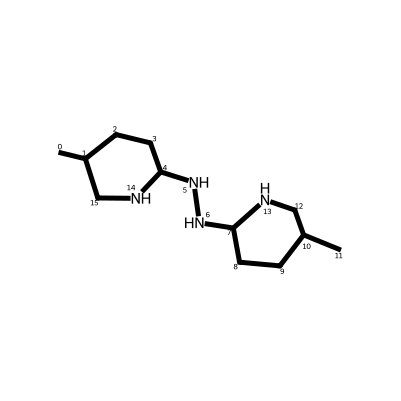 CC1CCC(NNC2CCC(C)CN2)NC1